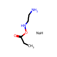 CCC(=O)ONCCN.[NaH]